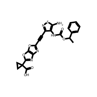 CC(OC(=O)Nc1c(C#Cc2nc3nc(C4(C(=O)O)CC4)oc3o2)nsc1N)c1ccccc1